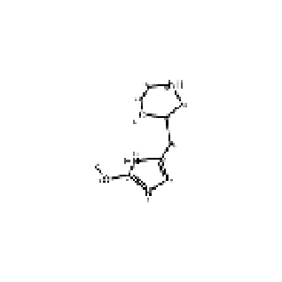 COc1ncc(CC2CNCCO2)[nH]1